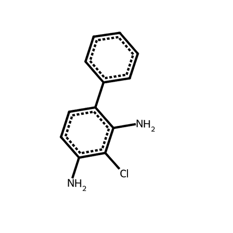 Nc1ccc(-c2ccccc2)c(N)c1Cl